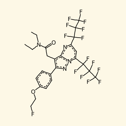 CCN(CC)C(=O)Cc1c(-c2ccc(OCCF)cc2)nn2c(C(F)(F)C(F)(F)C(F)(F)F)cc(C(F)(F)C(F)(F)C(F)(F)F)nc12